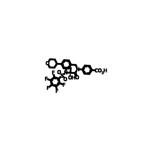 O=C(O)c1ccc(N(Cc2ccc(C3CCOCC3)cc2)C(=O)[C@]2(O)CCN2S(=O)(=O)c2c(F)c(F)c(F)c(F)c2F)cc1